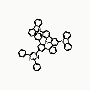 c1ccc(-c2cc(-c3cc(-c4ccccc4)c(-n4c5ccc(-n6c7ccccc7c7ccccc76)cc5c5ccc(-n6c7ccccc7c7ccccc76)cc54)c(-c4ccccc4)c3)nc(-c3ccccc3)n2)cc1